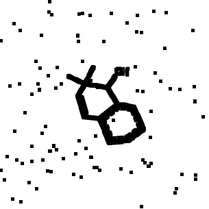 CC1(C)C=Cc2ccccc2C1O